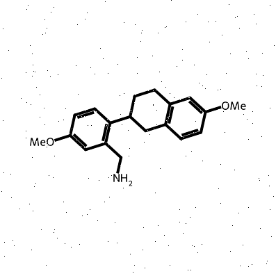 COc1ccc2c(c1)CCC(c1ccc(OC)cc1CN)C2